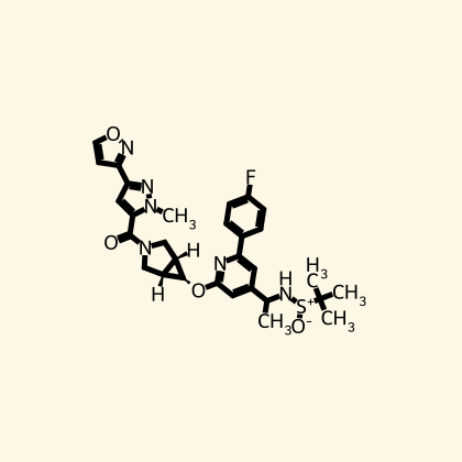 CC(N[S+]([O-])C(C)(C)C)c1cc(O[C@@H]2[C@@H]3CN(C(=O)c4cc(-c5ccon5)nn4C)C[C@@H]32)nc(-c2ccc(F)cc2)c1